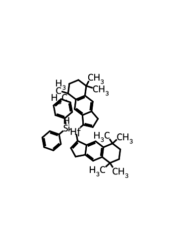 CC1(C)CCC(C)(C)c2cc3c(cc21)CC=[C]3[Hf]([C]1=CCc2cc3c(cc21)C(C)(C)CCC3(C)C)[SiH](c1ccccc1)c1ccccc1